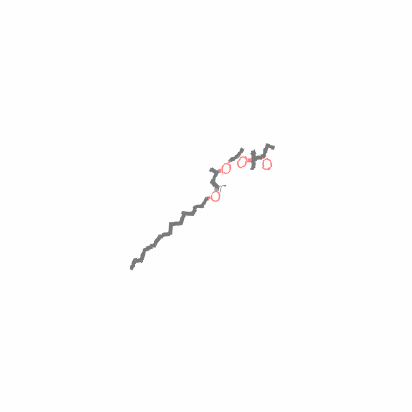 CCCCCCCCCCCCCCO[C@@H](C)CC(C)OCC(C)OC(C)(C)C(=O)CC